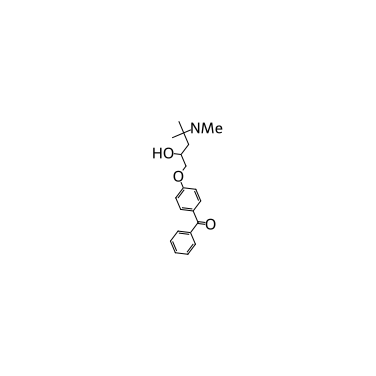 CNC(C)(C)CC(O)COc1ccc(C(=O)c2ccccc2)cc1